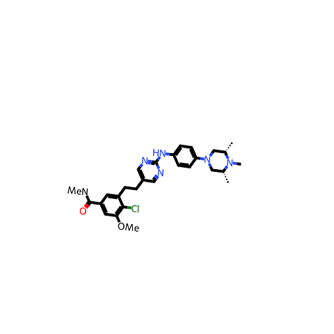 CNC(=O)c1cc(CCc2cnc(Nc3ccc(N4C[C@@H](C)N(C)[C@@H](C)C4)cc3)nc2)c(Cl)c(OC)c1